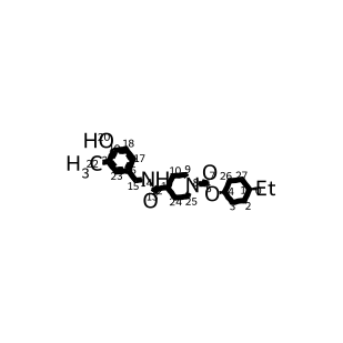 CC[C@H]1CC[C@@H](OC(=O)N2CCC(C(=O)NCc3ccc(O)c(C)c3)CC2)CC1